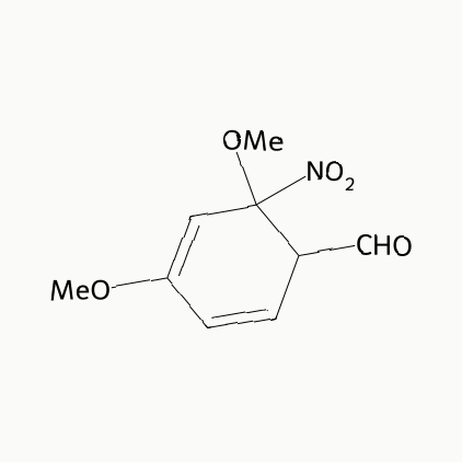 COC1=CC(OC)([N+](=O)[O-])C(C=O)C=C1